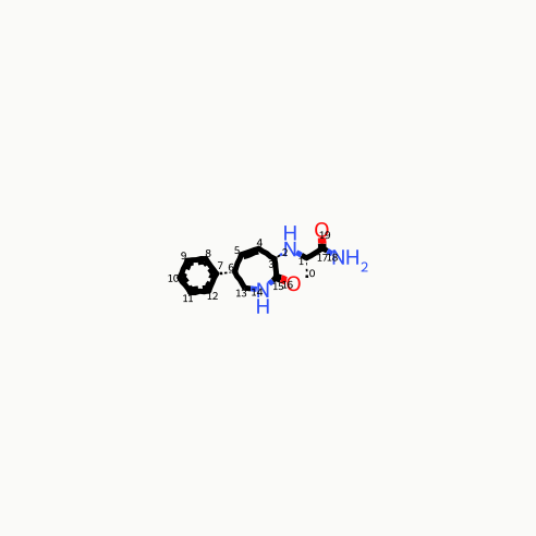 C[C@H](N[C@H]1C=C[C@@H](c2ccccc2)CNC1=O)C(N)=O